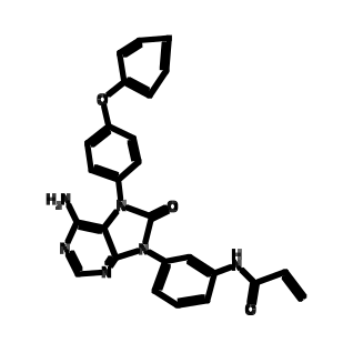 C=CC(=O)Nc1cccc(-n2c(=O)n(-c3ccc(Oc4ccccc4)cc3)c3c(N)ncnc32)c1